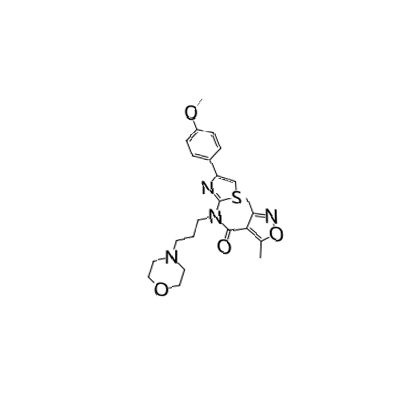 COc1ccc(-c2csc(N(CCCN3CCOCC3)C(=O)c3c(C)noc3C)n2)cc1